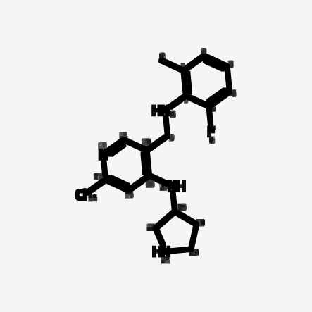 Cc1cccc(F)c1NCc1cnc(Cl)cc1NC1CCNC1